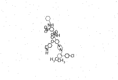 CC1(C)CCC(CN2CCN(c3ccc(C(=O)NS(=O)(=O)c4ccc(NCC5CCCCC5)c([N+](=O)[O-])c4)c(Oc4ccc5[nH]ccc5c4)c3)CC2)=C(c2ccc(Cl)cc2)C1